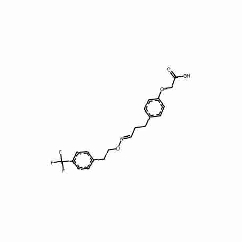 O=C(O)COc1ccc(CCC=NOCCc2ccc(C(F)(F)F)cc2)cc1